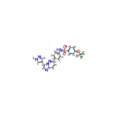 Cn1cc(-c2cnc3ccc(-c4ccc(NS(=O)(=O)c5ccc(OC(F)(F)F)cc5)cc4)nn23)cn1